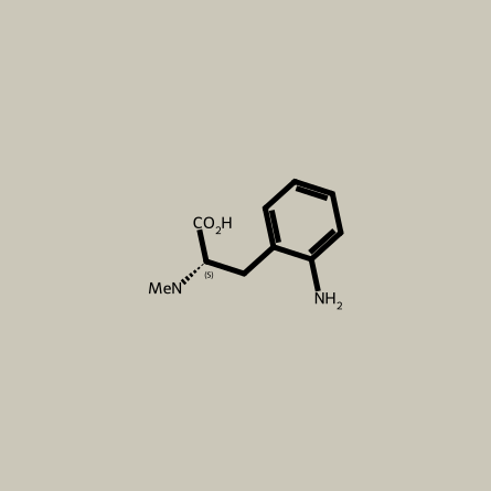 CN[C@@H](Cc1ccccc1N)C(=O)O